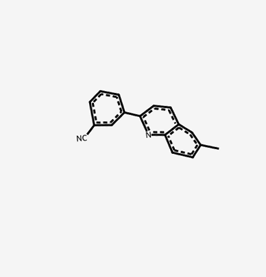 Cc1ccc2nc(-c3cccc(C#N)c3)ccc2c1